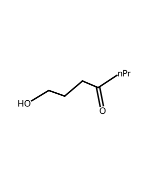 CCCC(=O)CCCO